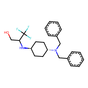 OCC(N[C@H]1CC[C@H](N(Cc2ccccc2)Cc2ccccc2)CC1)C(F)(F)F